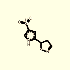 O=[SH](=O)c1c[nH]c(C2CC=NS2)c1